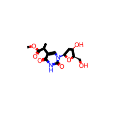 COC(=O)C(C)c1cn([C@H]2C[C@H](O)[C@@H](CO)O2)c(=O)[nH]c1=O